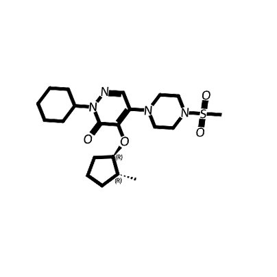 C[C@@H]1CCC[C@H]1Oc1c(N2CCN(S(C)(=O)=O)CC2)cnn(C2CCCCC2)c1=O